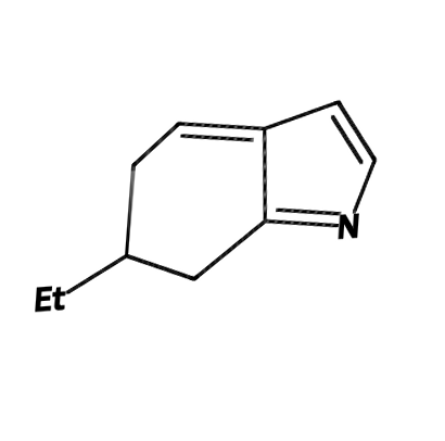 CCC1CC=C2C=CN=C2C1